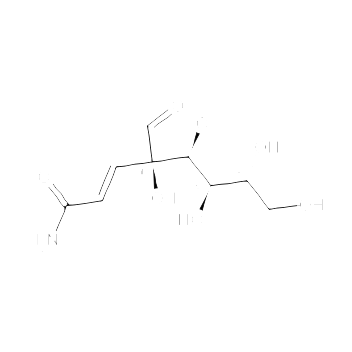 NC(=O)C=C[C@](O)(C=O)[C@@H](O)[C@H](O)[C@H](O)CO